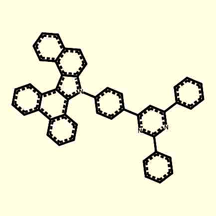 c1ccc(-c2cc(-c3ccc(-n4c5ccc6ccccc6c5c5c6ccccc6c6ccccc6c54)cc3)nc(-c3ccccc3)n2)cc1